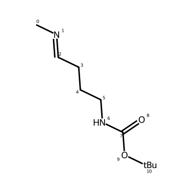 C/N=C/CCCNC(=O)OC(C)(C)C